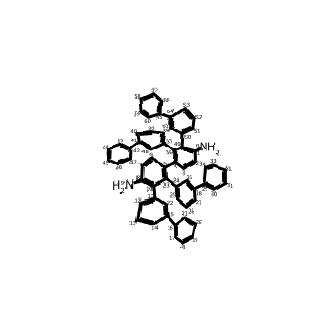 Nc1ccc(-c2ccc(N)c(-c3cccc(-c4ccccc4)c3)c2-c2cccc(-c3ccccc3)c2)c(-c2cccc(-c3ccccc3)c2)c1-c1cccc(-c2ccccc2)c1